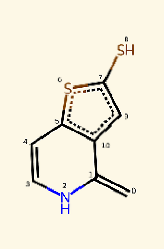 C=C1NC=Cc2sc(S)cc21